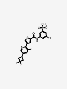 CS(=O)(=O)c1cc(Cl)cc(NC(=O)c2cc(-c3ncc(N4CC(F)(F)C4)cc3F)cs2)c1